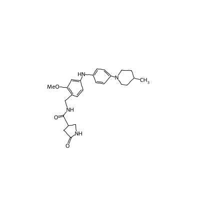 COc1cc(Nc2ccc(N3CCC(C)CC3)cc2)ccc1CNC(=O)C1CNC(=O)C1